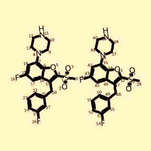 CS(=O)(=O)c1oc2c(N3CCNCC3)cc(F)cc2c1Cc1cccc(F)c1.CS(=O)(=O)c1oc2c(N3CCNCC3)cc(F)cc2c1Cc1cccc(F)c1